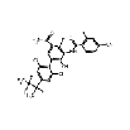 Cc1cc(C#N)ccc1C(=O)Nc1c(F)c(C(N)=O)cc(-c2c(Cl)cc(C(F)(C(F)(F)F)C(F)(F)C(F)(F)F)cc2Cl)c1C#N